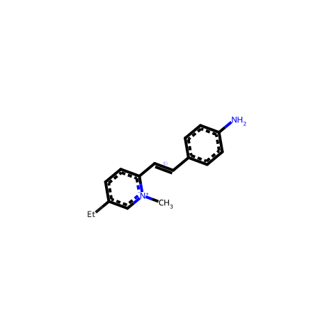 CCc1ccc(/C=C/c2ccc(N)cc2)[n+](C)c1